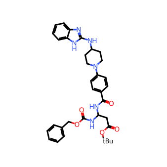 CC(C)(C)OC(=O)CC(NC(=O)OCc1ccccc1)NC(=O)c1ccc(N2CCC(Nc3nc4ccccc4[nH]3)CC2)cc1